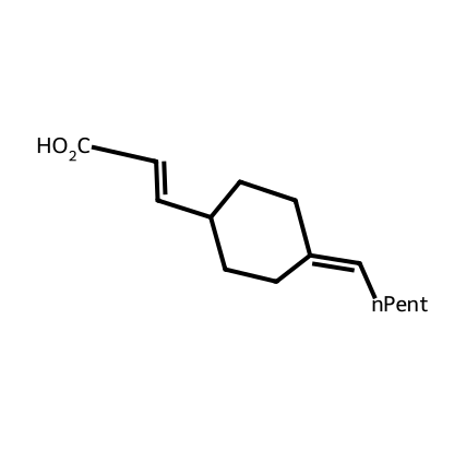 CCCCCC=C1CCC(/C=C/C(=O)O)CC1